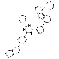 c1ccc(-c2nc(-c3ccc(-c4ccc5ccccc5c4)cc3)nc(-c3cccc(-c4cccc5c4sc4cccc(-c6ccccc6)c45)c3)n2)cc1